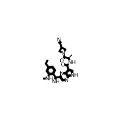 CCc1ccc(C(=N)c2cnc3[nH]cc(C(=O)N[C@H](C)C(=O)N4CC(C#N)C4)c3n2)c(NC)c1